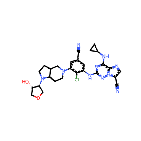 N#Cc1cc(Nc2nc(NC3CC3)c3ncc(C#N)n3n2)c(Cl)c(N2CCC3C(CCN3[C@H]3COC[C@@H]3O)C2)c1